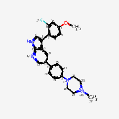 COc1ccc(-c2c[nH]c3ncc(-c4ccc(N5CCN(C)CC5)cc4)cc23)c(F)c1